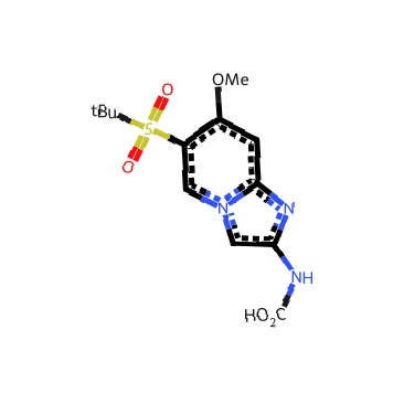 COc1cc2nc(NC(=O)O)cn2cc1S(=O)(=O)C(C)(C)C